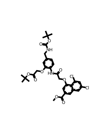 COC(=O)c1cc(OCC(=O)Nc2ccc(CNC(=O)OC(C)(C)C)cc2OCC(=O)OC(C)(C)C)c2c(Cl)cc(Cl)cc2c1